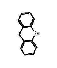 [CH]1c2ccccc2[Se]c2ccccc21